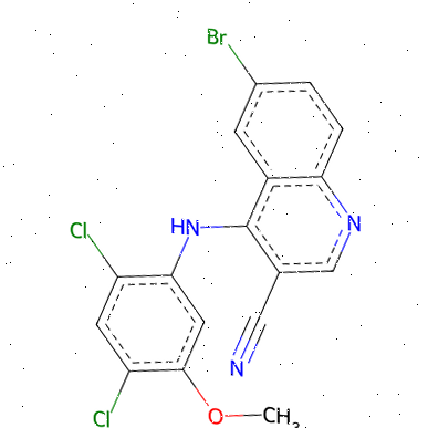 COc1cc(Nc2c(C#N)cnc3ccc(Br)cc23)c(Cl)cc1Cl